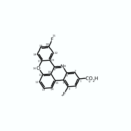 O=C(O)c1cc(F)c2c(c1)nc1c3c(cccc32)Oc2ccc(F)cc2-1